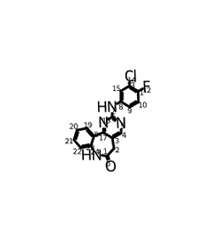 O=C1Cc2cnc(Nc3ccc(F)c(Cl)c3)nc2-c2ccccc2N1